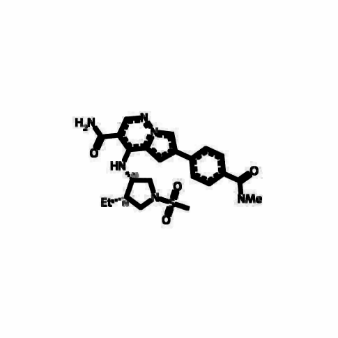 CC[C@H]1CN(S(C)(=O)=O)C[C@H]1Nc1c(C(N)=O)cnn2cc(-c3ccc(C(=O)NC)cc3)cc12